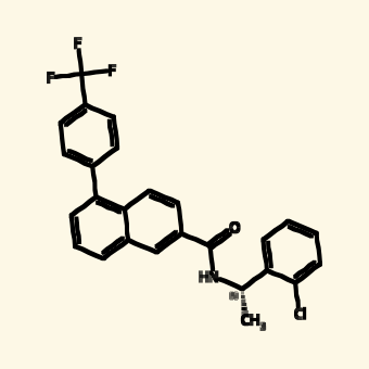 C[C@H](NC(=O)c1ccc2c(-c3ccc(C(F)(F)F)cc3)cccc2c1)c1ccccc1Cl